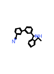 CC1NC(c2cccc(-c3cccc(C#N)c3)c2)c2ccccc21